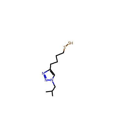 CC(C)Cn1cc(CCCCSS)nn1